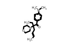 CC=CCC(CC)(C(=O)c1ccc(N(C)C)cc1)N1CCOCC1